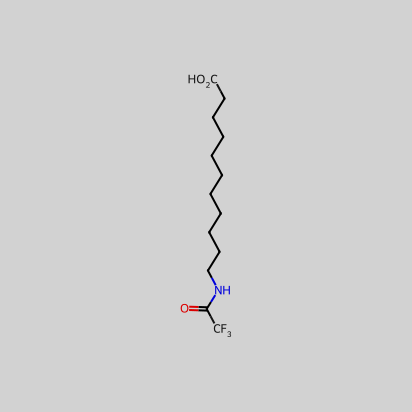 O=C(O)CCCCCCCCCCNC(=O)C(F)(F)F